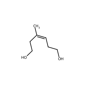 CC(=CCCO)CCO